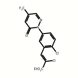 CCOC(=O)/C(Cl)=C/c1cc(-n2ncc(C(F)(F)F)cc2=O)ccc1Cl